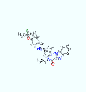 CCN(C(=O)c1nc2ccccc2[nH]1)[C@H]1CCC[C@@H](NCc2ccc(OC(C)(C)F)cc2)C1